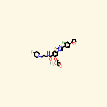 CC1(COc2cc3c(cc2C(=O)NCCCN2CCC(F)CC2)sc2nc(-c4ccc([C@H]5CCCO5)cc4F)cn23)COC1